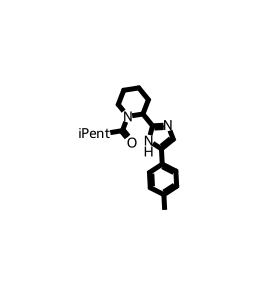 CCCC(C)C(=O)N1CCCCC1c1ncc(-c2ccc(C)cc2)[nH]1